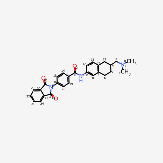 CN(C)CC1CCc2cc(NC(=O)c3ccc(N4C(=O)c5ccccc5C4=O)cc3)ccc2C1